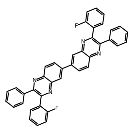 Fc1ccccc1-c1nc2cc(-c3ccc4nc(-c5ccccc5)c(-c5ccccc5F)nc4c3)ccc2nc1-c1ccccc1